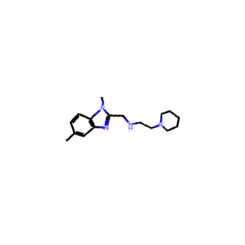 Cc1ccc2c(c1)nc(CNCCN1CCCCC1)n2C